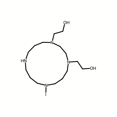 OCCN1CCCNCCCN(I)CCCN(CCO)CC1